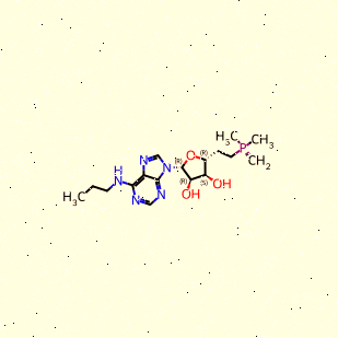 C=P(C)(C)CC[C@H]1O[C@@H](n2cnc3c(NCCC)ncnc32)[C@H](O)[C@@H]1O